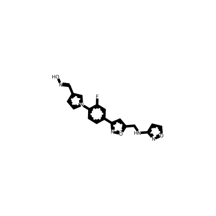 O/N=C/c1ccn(-c2ccc(-c3cc(CNc4ccon4)on3)cc2F)c1